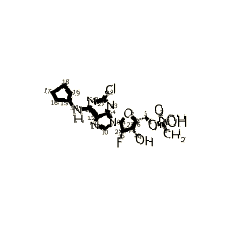 [CH2]P(=O)(O)OC[C@H]1O[C@@H](n2cnc3c(NC4CCCC4)nc(Cl)nc32)[C@@H](F)[C@@H]1O